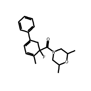 CC1=CC=C(c2ccccc2)CC1(F)C(=O)N1CC(C)OC(C)C1